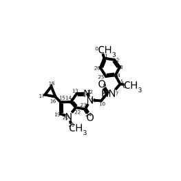 Cc1ccc(C(C)NC(=O)Cn2ncc3c(C4CC4)cn(C)c3c2=O)cc1